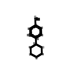 CC(C)(C)c1ccc(C2CCCCC2)nc1